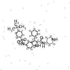 CC(C)(C)c1ccc(S(=O)(=O)Nc2ccc3[nH]c(C(=O)NC4CCNCC4)c(-c4ccccc4)c3c2)cc1